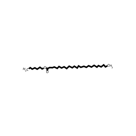 CCCCCCCCCCCCCCCCCCCCCCCCCC(=O)OCCCCCCC